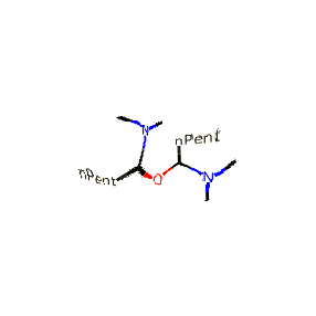 CCCCCC(OC(CCCCC)N(C)C)N(C)C